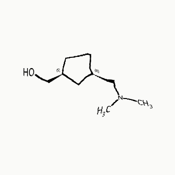 CN(C)C[C@@H]1CC[C@H](CO)C1